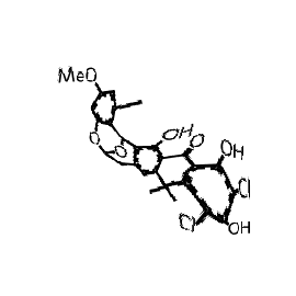 COc1cc(C)c2c(c1)OC1Cc3cc4c(c(O)c3C2O1)C(=O)c1c(O)c(Cl)c(O)c(Cl)c1C4(C)C